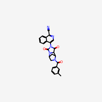 Cc1cccc(C(=O)N2CC3CC2C2C(=O)N(c4cnc(C#N)c5ccccc45)C(=O)N32)c1